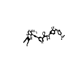 Cc1nc2cnc(N)c(C#Cc3cncc(C(=O)Nc4ccc(CN5CC[C@@H](N(C)C)C5)c(C(F)(F)F)c4)c3)c2nc1C